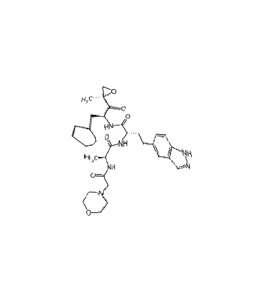 C[C@H](NC(=O)CN1CCOCC1)C(=O)N[C@@H](CCc1ccc2[nH]ncc2c1)C(=O)N[C@@H](CC1CCCC1)C(=O)[C@@]1(C)CO1